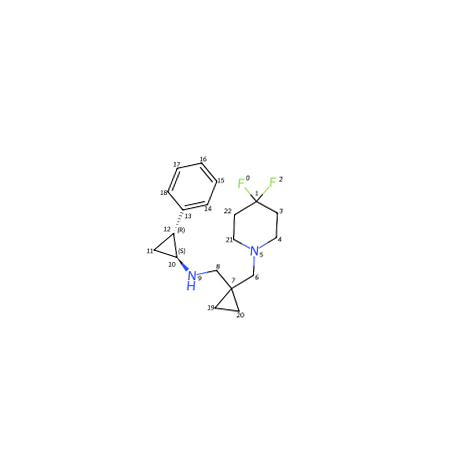 FC1(F)CCN(CC2(CN[C@H]3C[C@@H]3c3ccccc3)CC2)CC1